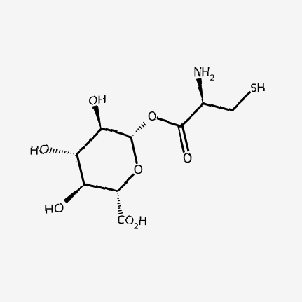 N[C@@H](CS)C(=O)O[C@@H]1O[C@H](C(=O)O)[C@@H](O)[C@H](O)[C@H]1O